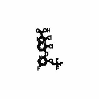 O=C(O)c1nc2ccc(Oc3ncc(F)cc3OCC(F)(F)F)c(Cl)n2c1Cl